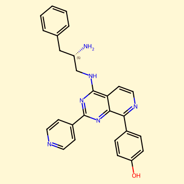 N[C@H](CNc1nc(-c2ccncc2)nc2c(-c3ccc(O)cc3)nccc12)Cc1ccccc1